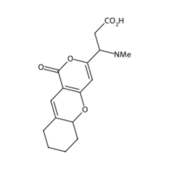 CNC(CC(=O)O)c1cc2c(c(=O)o1)C=C1CCCCC1O2